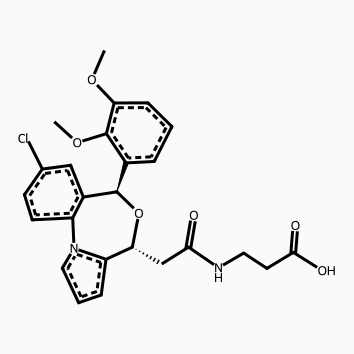 COc1cccc([C@H]2O[C@H](CC(=O)NCCC(=O)O)c3cccn3-c3ccc(Cl)cc32)c1OC